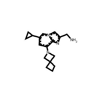 NCc1cn2cc(C3CC3)cc(N3CC4(CCC4)C3)c2n1